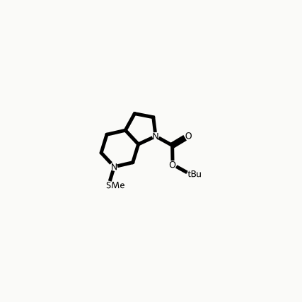 CSN1CCC2CCN(C(=O)OC(C)(C)C)C2C1